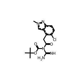 Cn1cc2c(CC(=O)N(C(=N)N)C(=O)OC(C)(C)C)c(Cl)ccc2n1